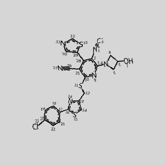 [C-]#[N+]c1c(N2CC(O)C2)nc(SCc2csc(-c3ccc(Cl)cc3)n2)c(C#N)c1-c1cncs1